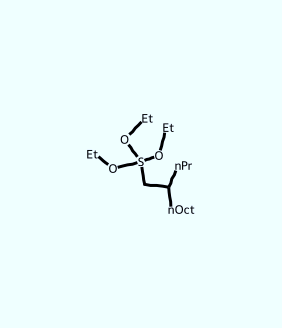 CCCCCCCCC(CCC)CS(OCC)(OCC)OCC